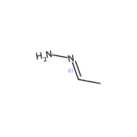 C/C=N/N